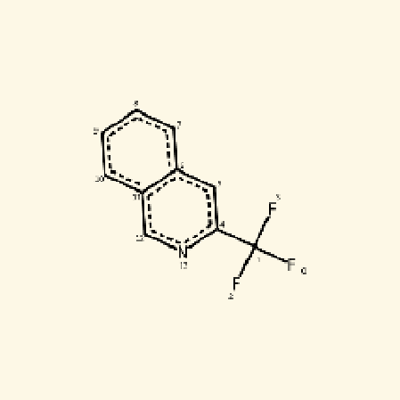 FC(F)(F)c1cc2[c]cccc2cn1